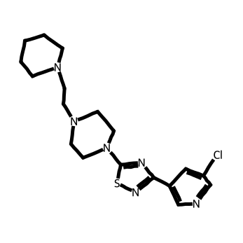 Clc1cncc(-c2nsc(N3CCN(CCN4CCCCC4)CC3)n2)c1